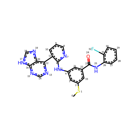 CSc1cc(Nc2ncccc2-c2ncnc3[nH]cnc23)cc(C(=O)Nc2ccccc2F)c1